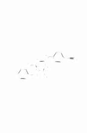 Cc1cccc(C)c1Nc1nc(N)nc(Nc2ccc(C#N)cc2)n1